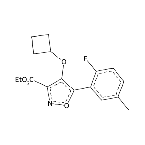 CCOC(=O)c1noc(-c2cc(C)ccc2F)c1OC1CCC1